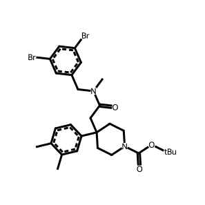 Cc1ccc(C2(CC(=O)N(C)Cc3cc(Br)cc(Br)c3)CCN(C(=O)OC(C)(C)C)CC2)cc1C